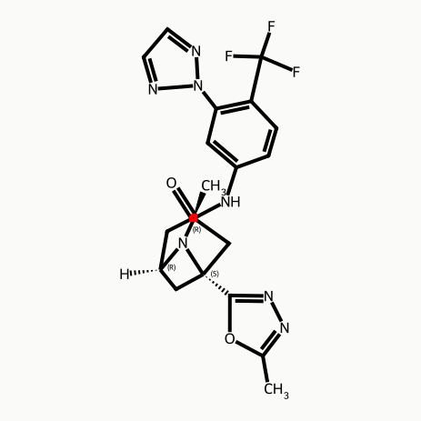 Cc1nnc([C@]23C[C@H](C)C[C@H](C2)N3C(=O)Nc2ccc(C(F)(F)F)c(-n3nccn3)c2)o1